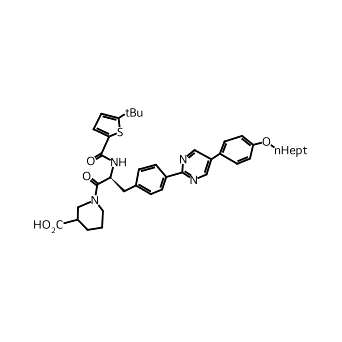 CCCCCCCOc1ccc(-c2cnc(-c3ccc(C[C@H](NC(=O)c4ccc(C(C)(C)C)s4)C(=O)N4CCCC(C(=O)O)C4)cc3)nc2)cc1